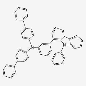 c1ccc(-c2ccc(N(c3ccc(-c4ccccc4)cc3)c3cccc(-c4cccc5c6ccccc6n(-c6ccccc6)c45)c3)cc2)cc1